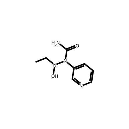 CCN(O)N(C(N)=O)c1cccnc1